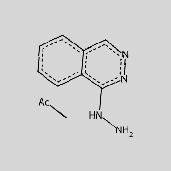 CC(C)=O.NNc1nncc2ccccc12